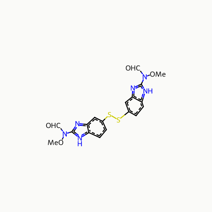 CON(C=O)c1nc2cc(SSc3ccc4[nH]c(N(C=O)OC)nc4c3)ccc2[nH]1